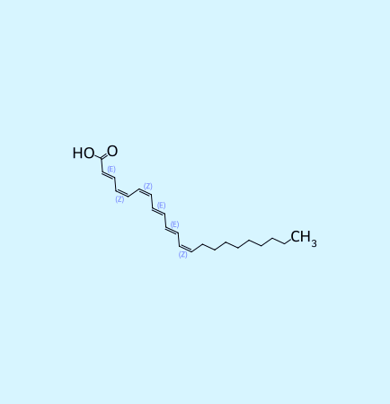 CCCCCCCCC\C=C/C=C/C=C/C=C\C=C/C=C/C(=O)O